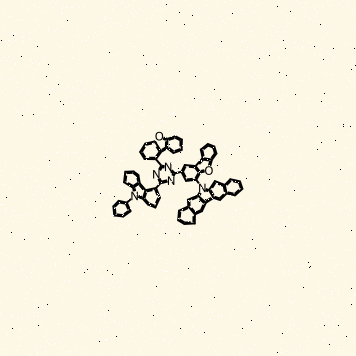 c1ccc(-n2c3ccccc3c3c(-c4nc(-c5cc(-n6c7cc8ccccc8cc7c7cc8ccccc8cc76)c6oc7ccccc7c6c5)nc(-c5cccc6oc7ccccc7c56)n4)cccc32)cc1